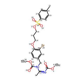 C/C(=N/C(=O)OC(C)(C)C)N(Cc1ccc(OCCCOS(=O)(=O)c2ccc(C)cc2)c(Br)c1)C(=O)OC(C)(C)C